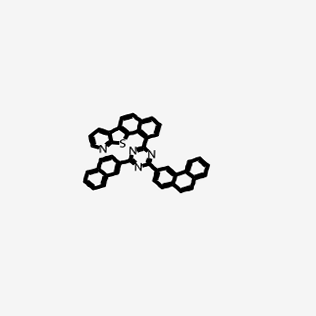 c1ccc2cc(-c3nc(-c4ccc5ccc6ccccc6c5c4)nc(-c4cccc5ccc6c7cccnc7sc6c45)n3)ccc2c1